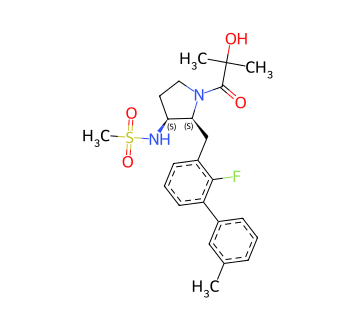 Cc1cccc(-c2cccc(C[C@H]3[C@@H](NS(C)(=O)=O)CCN3C(=O)C(C)(C)O)c2F)c1